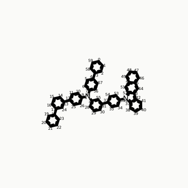 c1ccc(-c2ccc(N(c3ccc(-c4cccc(-c5ccccc5)c4)cc3)c3cccc(-c4ccc(-n5c6ccccc6c6cc7ccccc7cc65)cc4)c3)cc2)cc1